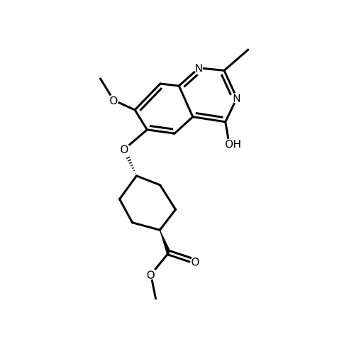 COc1cc2nc(C)nc(O)c2cc1O[C@H]1CC[C@H](C(=O)OC)CC1